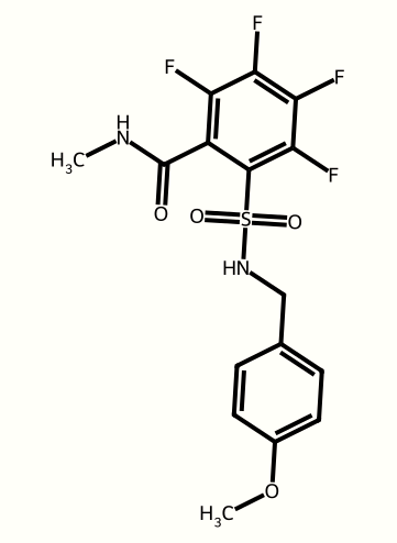 CNC(=O)c1c(F)c(F)c(F)c(F)c1S(=O)(=O)NCc1ccc(OC)cc1